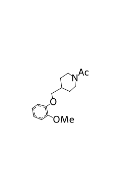 COc1ccccc1OCC1CCN(C(C)=O)CC1